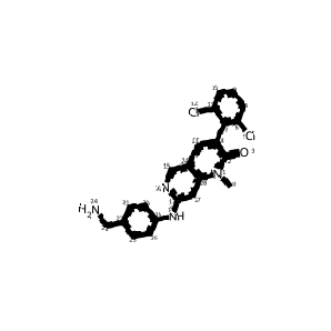 Cn1c(=O)c(-c2c(Cl)cccc2Cl)cc2cnc(Nc3ccc(CN)cc3)cc21